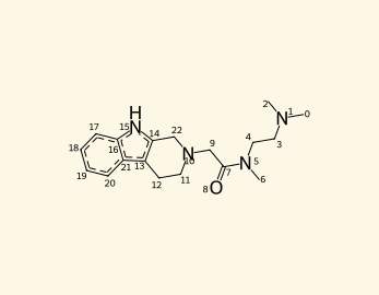 CN(C)CCN(C)C(=O)CN1CCc2c([nH]c3ccccc23)C1